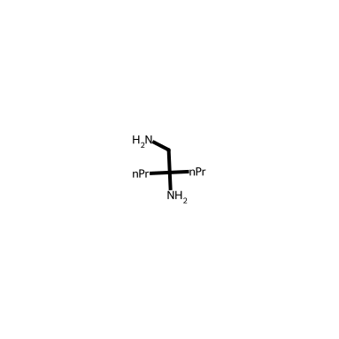 CCCC(N)(CN)CCC